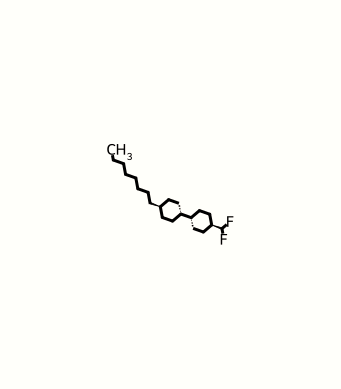 CCCCCCCC[C@H]1CC[C@H]([C@H]2CC[C@H](C(F)F)CC2)CC1